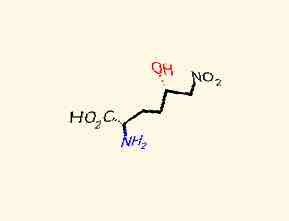 N[C@@H](CC[C@H](O)C[N+](=O)[O-])C(=O)O